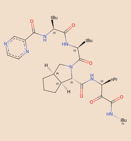 CCC[C@H](NC(=O)[C@@H]1[C@H]2CCC[C@H]2CN1C(=O)[C@@H](NC(=O)[C@@H](NC(=O)c1cnccn1)C(C)(C)C)C(C)(C)C)C(=O)C(=O)N[C@@H](C)CC